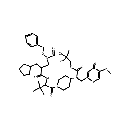 COc1coc(CN(C(=O)OCC(Cl)(Cl)Cl)C2CCN(C(=O)C(NC(=O)C(CC3CCCC3)CN(C=O)OCc3ccccc3)C(C)(C)C)CC2)cc1=O